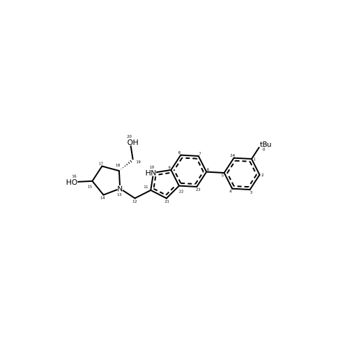 CC(C)(C)c1cccc(-c2ccc3[nH]c(CN4CC(O)C[C@@H]4CO)cc3c2)c1